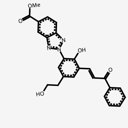 COC(=O)c1ccc2nn(-c3cc(CCO)cc(C=CC(=O)c4ccccc4)c3O)nc2c1